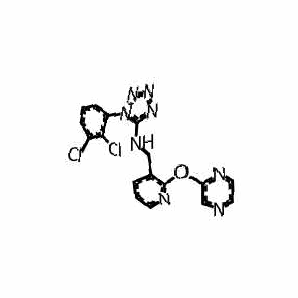 Clc1cccc(-n2nnnc2NCc2cccnc2Oc2cnccn2)c1Cl